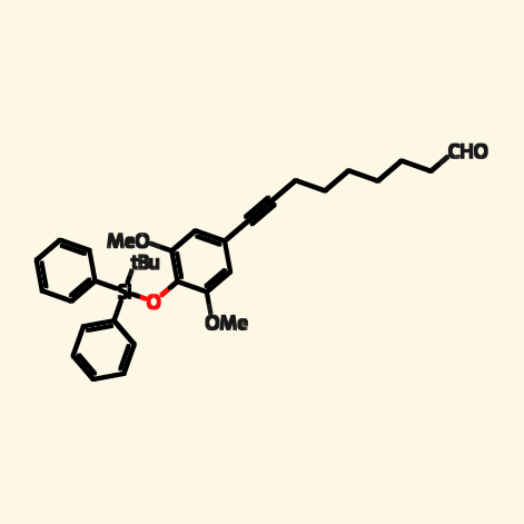 COc1cc(C#CCCCCCCC=O)cc(OC)c1O[Si](c1ccccc1)(c1ccccc1)C(C)(C)C